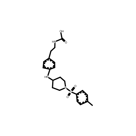 Cc1ccc(S(=O)(=O)N2CCC(Nc3ccc(CCNC(=O)O)cc3)CC2)cc1